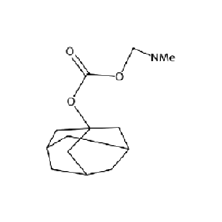 CNCOC(=O)OC12CC3CC(CC(C3)C1)C2